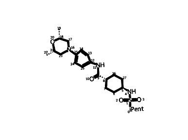 CCCC(C)S(=O)(=O)N[C@H]1CC[C@H](C(=O)Nc2ccc(N3C[C@@H](C)O[C@@H](C)C3)cc2)CC1